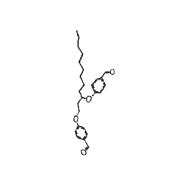 CCCCCCCCCC(CCOc1ccc(C=O)cc1)Oc1ccc(C=O)cc1